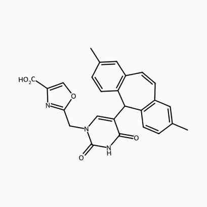 Cc1ccc2c(c1)C=Cc1cc(C)ccc1C2c1cn(Cc2nc(C(=O)O)co2)c(=O)[nH]c1=O